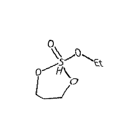 CCO[SH]1(=O)OCCO1